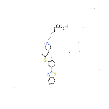 C=C(C=C1C=CN(CCCCCC(=O)O)C=C1)Sc1cc(-c2nc3ccccc3s2)ccc1C